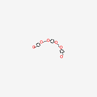 O=Cc1ccc(OCCCOc2ccc(OCCCOc3ccc(C=O)cc3)cc2)cc1